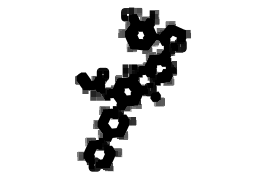 C=CC(=O)Nc1cc(Nc2cc(N3OCC[C@@H]3c3cccc(Cl)c3F)ncn2)c(OC)cc1N1CCC(N2CCOCC2)CC1